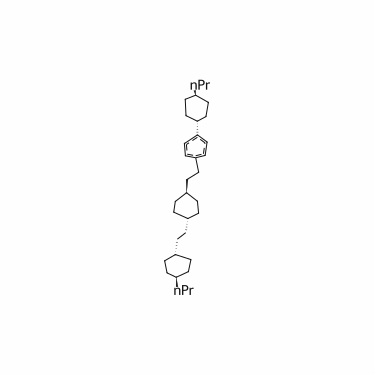 CCC[C@H]1CC[C@H](CC[C@H]2CC[C@H](CCc3ccc([C@H]4CC[C@H](CCC)CC4)cc3)CC2)CC1